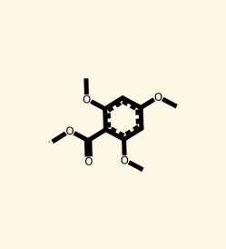 [CH2]OC(=O)c1c(OC)cc(OC)cc1OC